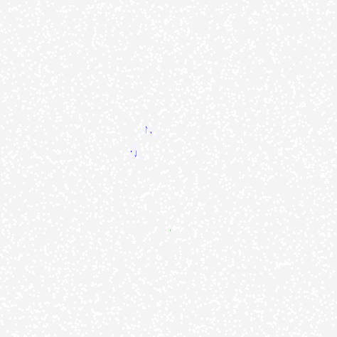 Fc1ccccc1-c1n[c]ncc1Cc1ccc(Cl)cc1